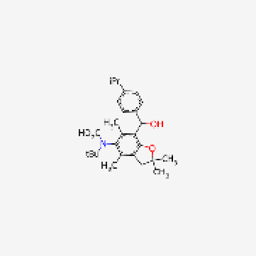 Cc1c2c(c(C(O)c3ccc(C(C)C)cc3)c(C)c1N(C(=O)O)C(C)(C)C)OC(C)(C)C2